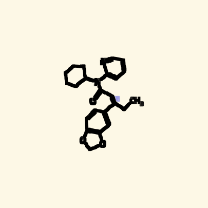 CC/C(=C/C(=O)N(c1ccccn1)C1CCCCC1)c1ccc2c(c1)OCO2